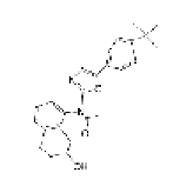 CC(=O)N(c1ncc(-c2ccc(C(C)(C)C)cc2)o1)c1cccc2c1CC(O)CC2